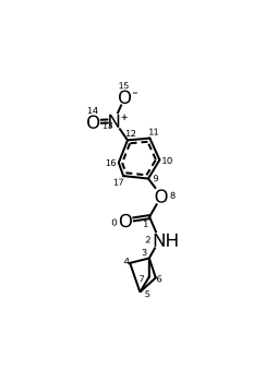 O=C(NC12CC(C1)C2)Oc1ccc([N+](=O)[O-])cc1